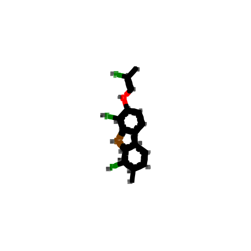 C/C(F)=C/Oc1ccc2c(sc3c(F)c(C)ccc32)c1F